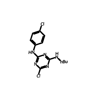 CCCCNc1nc(Cl)nc(Nc2ccc(Cl)cc2)n1